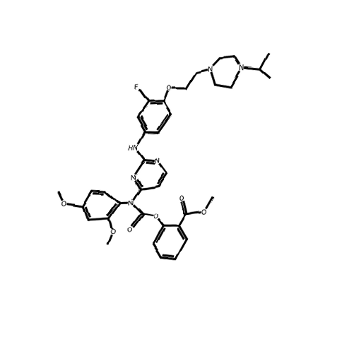 COC(=O)c1ccccc1OC(=O)N(c1ccnc(Nc2ccc(OCCN3CCN(C(C)C)CC3)c(F)c2)n1)c1ccc(OC)cc1OC